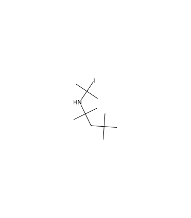 CC(C)(C)CC(C)(C)NC(C)(C)I